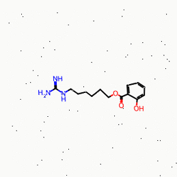 N=C(N)NCCCCCCOC(=O)c1ccccc1O